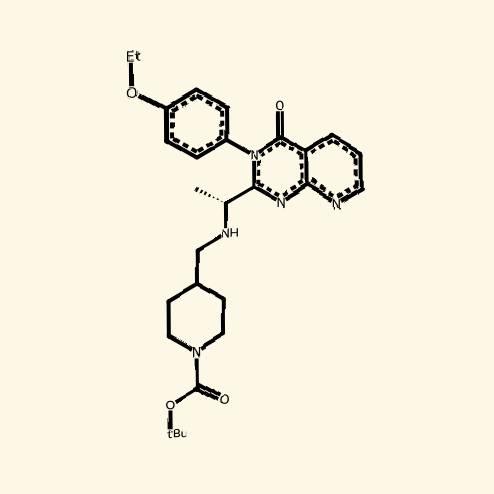 CCOc1ccc(-n2c([C@@H](C)NCC3CCN(C(=O)OC(C)(C)C)CC3)nc3ncccc3c2=O)cc1